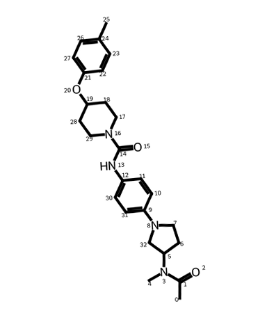 CC(=O)N(C)C1CCN(c2ccc(NC(=O)N3CCC(Oc4ccc(C)cc4)CC3)cc2)C1